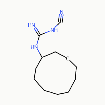 N#CNC(=N)NC1CCCCCCCCC1